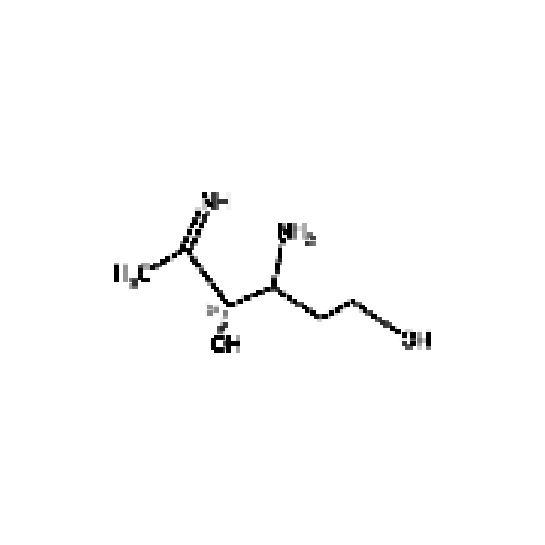 CC(=N)[C@@H](O)C(N)CCO